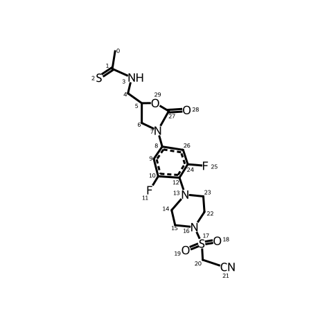 CC(=S)NCC1CN(c2cc(F)c(N3CCN(S(=O)(=O)CC#N)CC3)c(F)c2)C(=O)O1